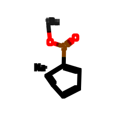 CC(C)(C)OS(=O)c1ccccc1.[Na]